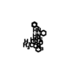 CC(C)(C)[C@H](NC(=S)N[C@@H]1CCCC[C@H]1NCc1ccccc1)C(=O)N1CCCCC1